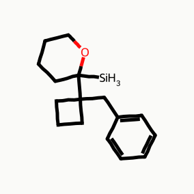 [SiH3]C1(C2(Cc3ccccc3)CCC2)CCCCO1